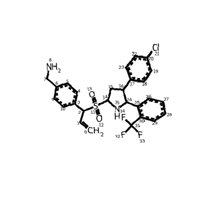 C=CC(c1ccc(CN)cc1)S(=O)(=O)C1CC(c2ccc(Cl)cc2)C(c2ccccc2C(F)(F)F)N1